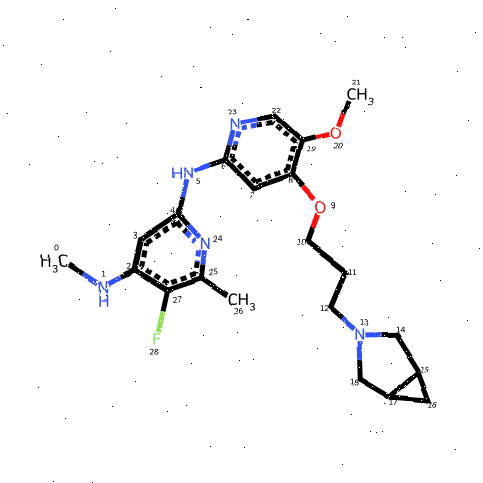 CNc1cc(Nc2cc(OCCCN3CC4CC4C3)c(OC)cn2)nc(C)c1F